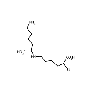 CCC(CCCCN[C@@H](CCCCN)C(=O)O)C(=O)O